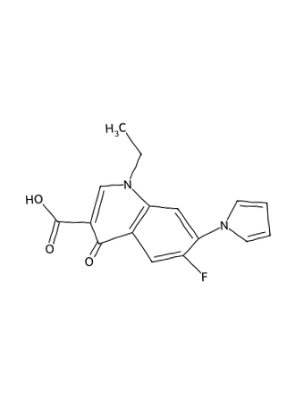 CCn1cc(C(=O)O)c(=O)c2cc(F)c(-n3cccc3)cc21